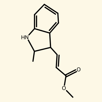 COC(=O)C=CC1c2ccccc2NC1C